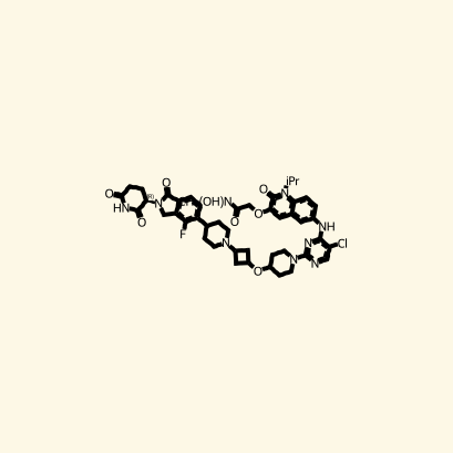 CC(C)n1c(=O)c(OCC(=O)N(C)O)cc2cc(Nc3nc(N4CCC(OC5CC(N6CCC(c7ccc8c(c7F)CN([C@@H]7CCC(=O)NC7=O)C8=O)CC6)C5)CC4)ncc3Cl)ccc21